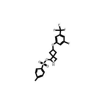 Cc1ccc(S(=O)(=O)OC2NCC23CC(Oc2cc(F)cc(C(F)(F)F)c2)C3)cc1